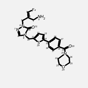 NC/C(=C\F)Cn1ncn(Cc2ccc(-c3ccc(C(=O)N4CCOCC4)cc3)s2)c1=O